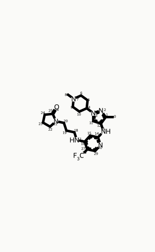 Cc1nn(C2CCN(C)CC2)cc1Nc1cc(NCCCN2CCCC2=O)c(C(F)(F)F)cn1